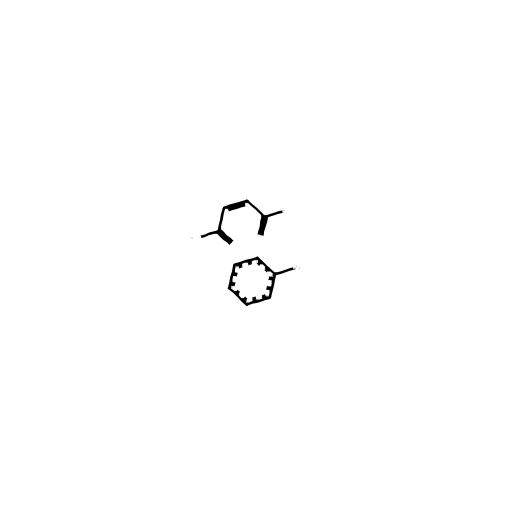 Nc1ccccc1.O=C(O)/C=C\C(=O)O.[Cr]